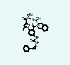 CCCCN(CCCC)C(=O)c1cc(C)n(-c2ccc(NC(=O)N[C@@H]3C[C@H]3c3ccccc3)cc2C(=O)N2Cc3ccccc3C[C@H]2CO)n1